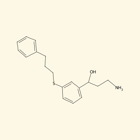 NCCC(O)c1cccc(SCCCc2ccccc2)c1